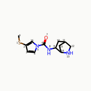 CSc1ccn(C(=O)NC2CC3CNC2C3)c1